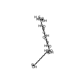 CCN[C@@H](CCCCNC(=O)COCCOCCNC(=O)COCCOCCNC(=O)CC[C@H](NC(=O)CCCCCCCCCCCCCCCCC(=O)O)C(=O)O)C(=O)O